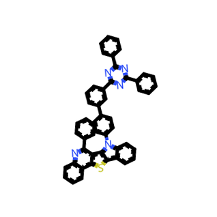 c1ccc(-c2nc(-c3ccccc3)nc(-c3cccc(-c4ccc(-n5c6ccccc6c6sc7c8ccccc8nc(-c8ccccc8)c7c65)cc4)c3)n2)cc1